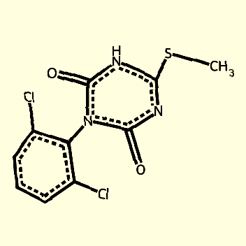 CSc1nc(=O)n(-c2c(Cl)cccc2Cl)c(=O)[nH]1